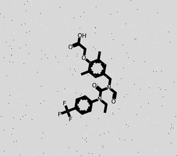 CCN(C(=O)N(C=O)Cc1cc(C)c(OCC(=O)O)c(C)c1)c1ccc(C(F)(F)F)cc1